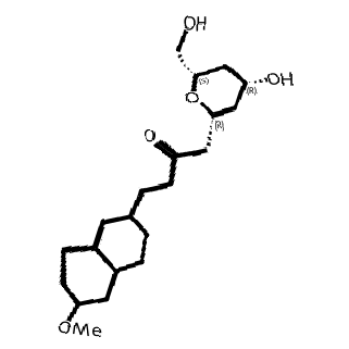 COC1CCC2CC(CCC(=O)C[C@H]3C[C@@H](O)C[C@@H](CO)O3)CCC2C1